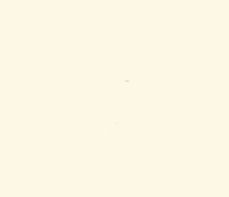 O=C(O)C1C=CCCC1C(=O)O.O=C(O)C1CCC(C(=O)O)CC1